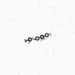 COC1CCC(c2ccc(C3CCC(COc4ccc(C5CO5)c(F)c4)CC3)c(F)c2F)CC1